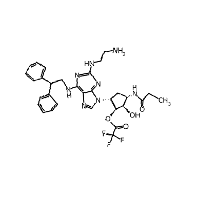 CCC(=O)N[C@H]1C[C@@H](n2cnc3c(NCC(c4ccccc4)c4ccccc4)nc(NCCN)nc32)[C@H](OC(=O)C(F)(F)F)[C@@H]1O